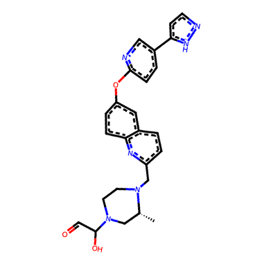 C[C@@H]1CN(C(O)C=O)CCN1Cc1ccc2cc(Oc3ccc(-c4ccn[nH]4)cn3)ccc2n1